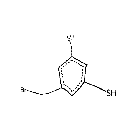 Sc1cc(S)cc(CBr)c1